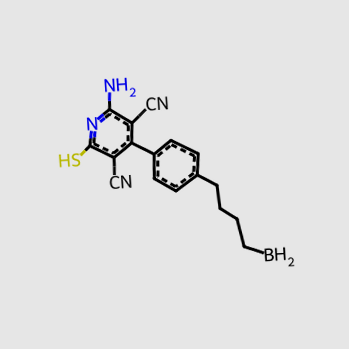 BCCCCc1ccc(-c2c(C#N)c(N)nc(S)c2C#N)cc1